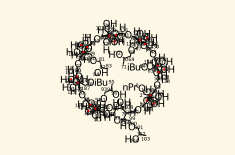 CCCOC[C@H]1O[C@@H]2O[C@H]3[C@H](O)[C@@H](O)[C@@H](O[C@H]4[C@H](O)[C@@H](O)[C@@H](O[C@H]5[C@H](O)[C@@H](O)[C@@H](O[C@H]6[C@H](O)[C@@H](O)[C@@H](O[C@H]7[C@H](O)[C@@H](O)[C@@H](O[C@H]8[C@H](O)[C@@H](O)[C@@H](O[C@H]9[C@H](O)[C@@H](O)[C@@H](O[C@H]1[C@H](O)[C@H]2O)O[C@@H]9COCC(C)C)O[C@@H]8COCC(C)O)O[C@@H]7CO)O[C@@H]6COCC(C)O)O[C@@H]5COCC(C)C)O[C@@H]4COCC(C)O)O[C@@H]3COCC(C)O